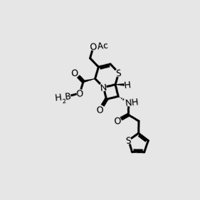 BOC(=O)[C@H]1C(COC(C)=O)=CS[C@@H]2[C@H](NC(=O)Cc3cccs3)C(=O)N12